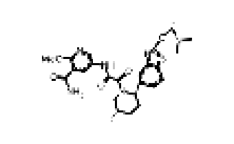 COc1ncc(NC(=O)C(=O)N2C[C@@H](C)CC[C@@H]2c2ccc3sc(C[C@H](C)N(C)C)nc3c2)cc1C(N)=O